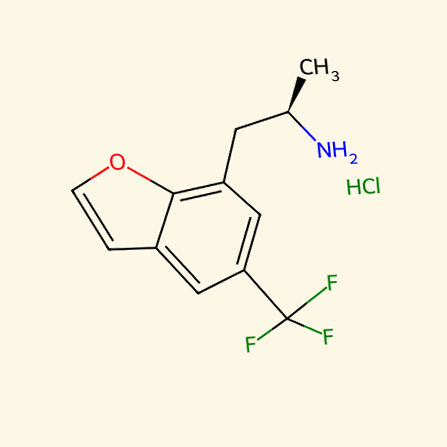 C[C@@H](N)Cc1cc(C(F)(F)F)cc2ccoc12.Cl